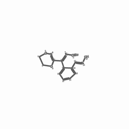 CON=C(C1=NOCCO1)c1ccccc1C=NO